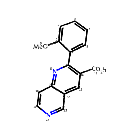 COc1ccccc1-c1nc2ccncc2cc1C(=O)O